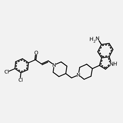 Nc1ccc2[nH]cc(C3CCN(CC4CCN(/C=C/C(=O)c5ccc(Cl)c(Cl)c5)CC4)CC3)c2c1